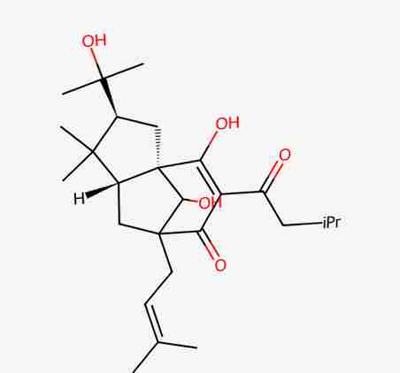 CC(C)=CCC12C[C@@H]3C(C)(C)[C@@H](C(C)(C)O)C[C@]3(C(O)=C(C(=O)CC(C)C)C1=O)C2O